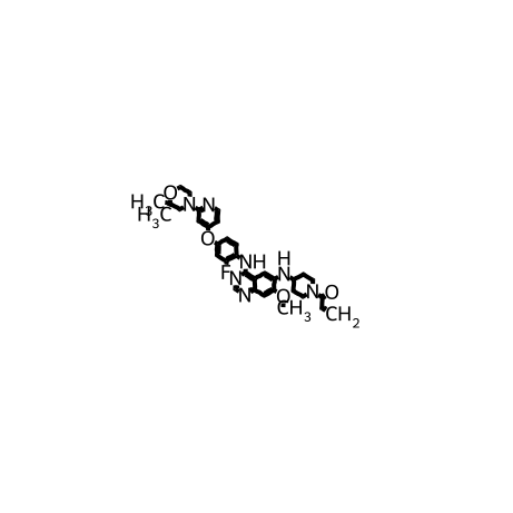 C=CC(=O)N1CCC(Nc2cc3c(Nc4ccc(Oc5ccnc(N6CCOC(C)(C)C6)c5)cc4F)ncnc3cc2OC)CC1